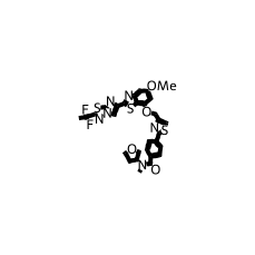 COc1cc(OCc2csc(-c3ccc(C(=O)N(C)[C@H]4CCOC4)cc3)n2)c2sc(-c3cn4nc(C(C)(F)F)sc4n3)nc2c1